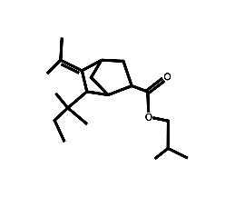 CCC(C)(C)C1C(=C(C)C)C2CC(C(=O)OCC(C)C)C1C2